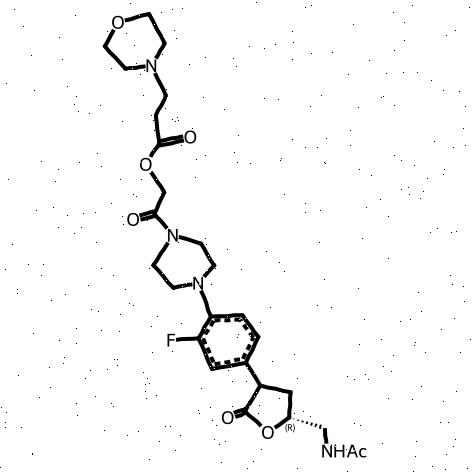 CC(=O)NC[C@H]1CC(c2ccc(N3CCN(C(=O)COC(=O)CCN4CCOCC4)CC3)c(F)c2)C(=O)O1